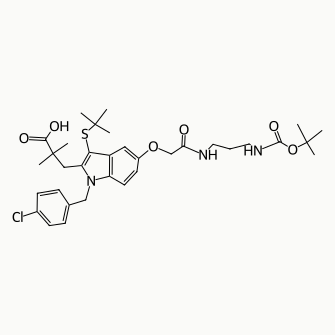 CC(C)(C)OC(=O)NCCCNC(=O)COc1ccc2c(c1)c(SC(C)(C)C)c(CC(C)(C)C(=O)O)n2Cc1ccc(Cl)cc1